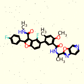 CNC(=O)c1c(-c2ccc(F)cc2)oc2ccc(-c3cc(C(=O)NC(C)c4nc5ccncc5o4)c(OC)cc3C)c(F)c12